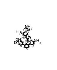 CC(=O)N1CCC(c2cccc(C3CCC(C)CN3C(=O)C(=O)Nc3cnc(OC(N)=O)c(C)c3)c2)CC1